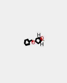 C[C@H]1C[C@@H]2C[C@@H](OCc3ccccc3)C[C@H]1C2=O